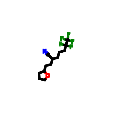 N#CC(CCCC(F)(F)C(F)(F)F)CCC1CCCO1